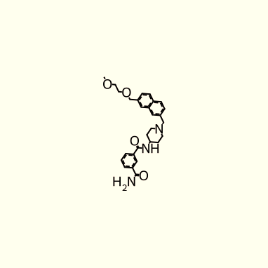 COCCOCc1ccc2ccc(CN3CCC(NC(=O)c4cccc(C(N)=O)c4)CC3)cc2c1